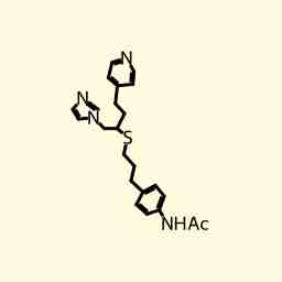 CC(=O)Nc1ccc(CCCSC(CCc2ccncc2)Cn2ccnc2)cc1